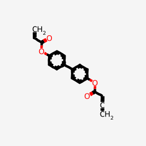 C=C=CC(=O)Oc1ccc(-c2ccc(OC(=O)C=C)cc2)cc1